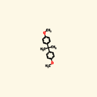 COc1ccc(C(C)(C)c2ccc(OC)cc2)cc1